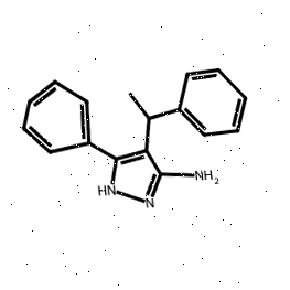 CC(c1ccccc1)c1c(N)n[nH]c1-c1ccccc1